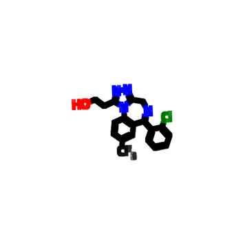 OCCc1nnc2n1-c1ccc(C(F)(F)F)cc1C(c1ccccc1Cl)=NC2